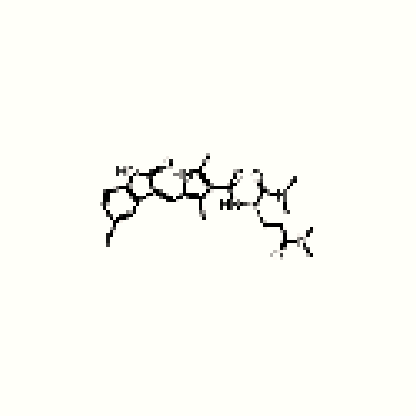 Cc1[nH]c(/C=C2\C(=O)Nc3ccc(F)cc32)c(C)c1C(=O)N[C@H](CCC(=O)N(C)C)C(=O)N(C)C